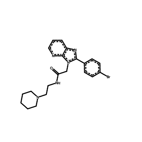 O=C(Cn1c(-c2ccc(Br)cc2)nc2cccnc21)NCCN1CCCCC1